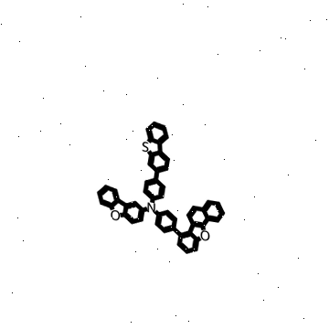 c1ccc2c(c1)ccc1c2oc2cccc(-c3ccc(N(c4ccc(-c5ccc6c(c5)sc5ccccc56)cc4)c4ccc5oc6ccccc6c5c4)cc3)c21